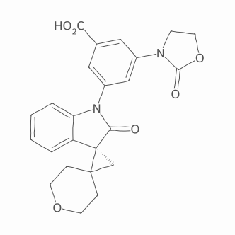 O=C(O)c1cc(N2CCOC2=O)cc(N2C(=O)[C@]3(CC34CCOCC4)c3ccccc32)c1